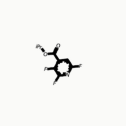 CC(C)OC(=O)c1cc(F)nc(F)c1F